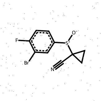 N#CC1([S+]([O-])c2ccc(F)c(Br)c2)CC1